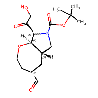 CC(C)(C)OC(=O)N1C[C@@H]2C[C@H](C=O)CCO[C@H]2[C@H]1C(=O)CO